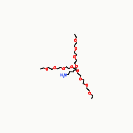 CCOCCOCCOCCO[Si](CCCN)(OCCOCCOCCOCC)OCCOCCOCCOCC